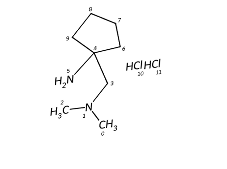 CN(C)CC1(N)CCCC1.Cl.Cl